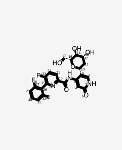 O=C(Nc1cc(=O)[nH]cc1[C@H]1C[C@@H](O)[C@H](O)[C@@H](CO)O1)c1ccc(F)c(-c2c(F)cccc2F)n1